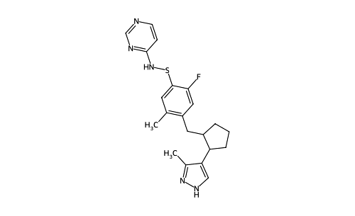 Cc1cc(SNc2ccncn2)c(F)cc1CC1CCCC1c1c[nH]nc1C